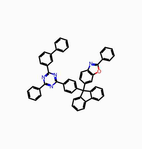 c1ccc(-c2cccc(-c3nc(-c4ccccc4)nc(-c4ccc(C5(c6ccc7nc(-c8ccccc8)oc7c6)c6ccccc6-c6ccccc65)cc4)n3)c2)cc1